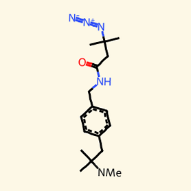 CNC(C)(C)Cc1ccc(CNC(=O)CC(C)(C)N=[N+]=[N-])cc1